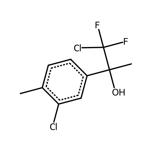 Cc1ccc(C(C)(O)C(F)(F)Cl)cc1Cl